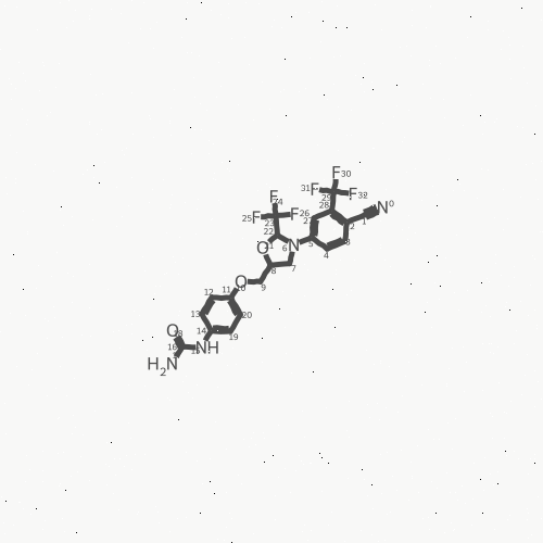 N#Cc1ccc(N2CC(COc3ccc(NC(N)=O)cc3)OC2C(F)(F)F)cc1C(F)(F)F